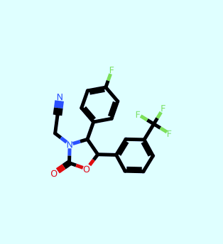 N#CCN1C(=O)OC(c2cccc(C(F)(F)F)c2)C1c1ccc(F)cc1